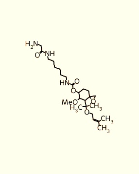 COC1C(OC(=O)NCCCCCCNC(=O)CN)CCC2(CO2)C1C(C)(C)OCC=C(C)C